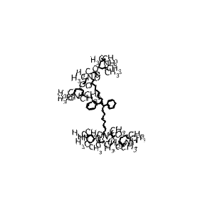 CC(C(=O)OC1CC(C)(C)NC(C)(C)C1)N(C(=O)CCCCCCC(c1ccccc1)C(CCCCCCC(=O)N(C(C)C(=O)OC1CC(C)(C)NC(C)(C)C1)C(C)C(=O)OC1CC(C)(C)NC(C)(C)C1)c1ccccc1)C(C)C(=O)OC1CC(C)(C)NC(C)(C)C1